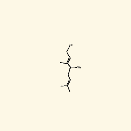 CC(C)=CCC(O)/C(C)=C/CO